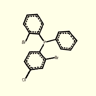 Clc1ccc(P(c2ccccc2)c2ccccc2Br)c(Br)c1